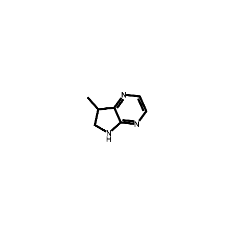 CC1CNc2nccnc21